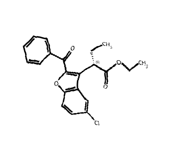 CCOC(=O)[C@@H](CC)c1c(C(=O)c2ccccc2)oc2ccc(Cl)cc12